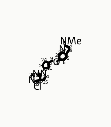 CNc1ccc2ccc(OCC3=CC(n4ccc5c(Cl)ncnc54)CC3)cc2n1